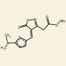 CCCCOC(=O)CC1=NOC(=O)/C1=C\c1ccc(N(C)C)s1